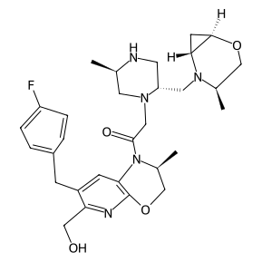 C[C@@H]1CN(CC(=O)N2c3cc(Cc4ccc(F)cc4)c(CO)nc3OC[C@@H]2C)[C@@H](CN2[C@H](C)CO[C@@H]3C[C@H]32)CN1